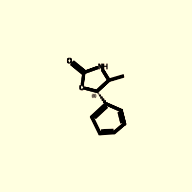 CC1NC(=O)O[C@H]1c1ccccc1